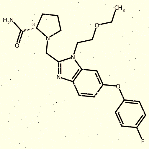 CCOCCn1c(CN2CCC[C@H]2C(N)=O)nc2ccc(Oc3ccc(F)cc3)cc21